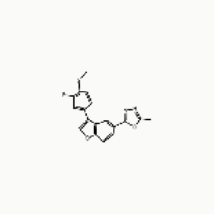 CSc1ccc(-c2coc3ccc(-c4nnc(C)o4)cc23)cc1F